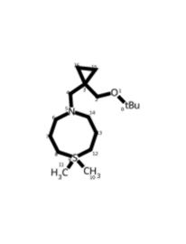 CC(C)(C)OCC1(CN2CCCS(C)(C)CCC2)CC1